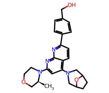 C[C@H]1COCCN1c1cc(N2CC3CCC(C2)O3)c2ccc(-c3ccc(CO)cc3)nc2n1